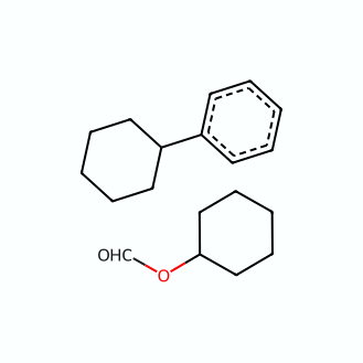 O=COC1CCCCC1.c1ccc(C2CCCCC2)cc1